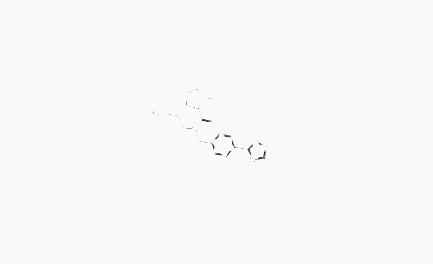 COCCN(Cc1ccc(-c2noc(C(F)(F)F)n2)cc1)C(=O)C1CCCN1C(C)=O